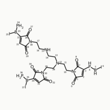 O=C1C=C(PBI)C(=O)N1CCN(CCNCCN1C(=O)C=C(B(P)I)C1=O)CCN1C(=O)C=C(B(P)I)C1=O